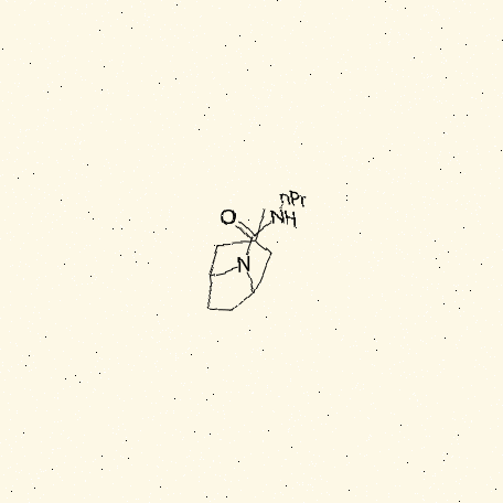 CCCNC(=O)N1C2CCC1CC(C)C2